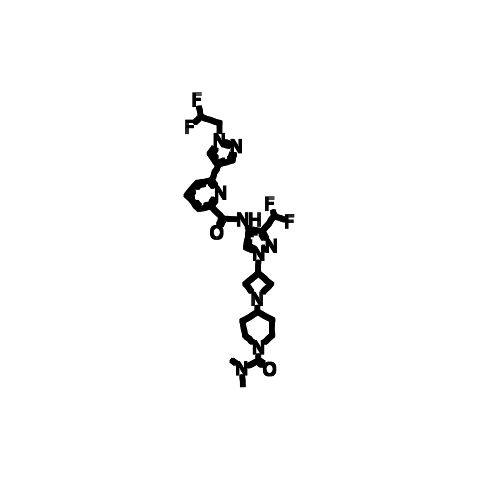 CN(C)C(=O)N1CCC(N2CC(n3cc(NC(=O)c4cccc(-c5cnn(CC(F)F)c5)n4)c(C(F)F)n3)C2)CC1